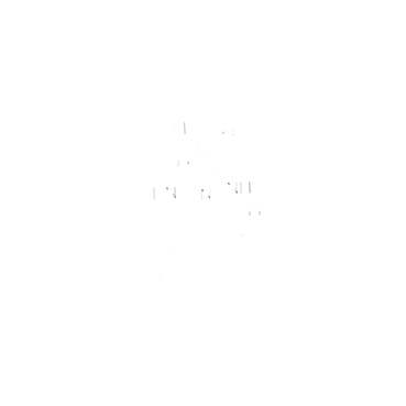 N=[N+]=N.O=C1C=CC=C2C(=O)C=CC=C12.O=S(=O)(Cl)Cl